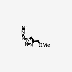 COCc1cn(N=[N+]=[N-])nn1